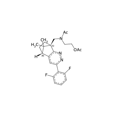 CC(=O)OCCN(C[C@@]12CC[C@@H](c3cc(-c4c(F)cccc4F)nnc31)C2(C)C)C(C)=O